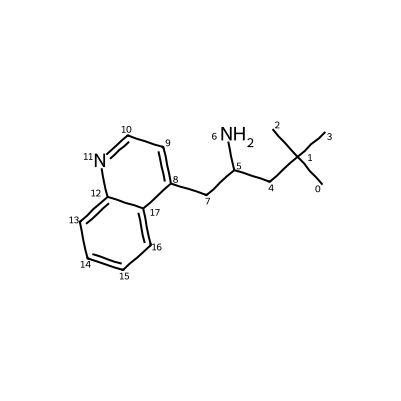 CC(C)(C)CC(N)Cc1ccnc2ccccc12